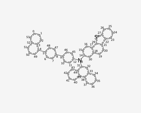 c1ccc2c(-c3ccc(-c4ccc(N(c5ccc6c(ccc7c8ccccc8sc67)c5)c5cc6ccccc6c6ccccc56)cc4)cc3)cccc2c1